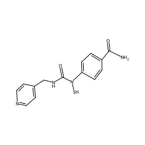 NC(=O)c1ccc(N(S)C(=O)NCc2ccncc2)cc1